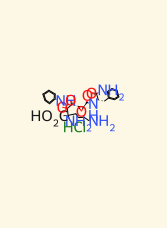 Cl.NCCCC[C@@](N)(C(=O)O)C(ONc1ccccc1)C(=O)[C@H]1O[C@@H]1C(=O)N[C@@H](Cc1ccccc1)C(N)=O